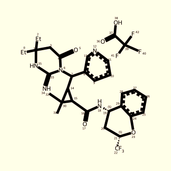 CCC1(CC)CC(=O)N(C(c2cccnc2)C2C(C(=O)N[C@H]3C[C@@H](C(F)(F)F)Oc4ccccc43)C2(C)C)C(=N)N1.O=C(O)C(F)(F)F